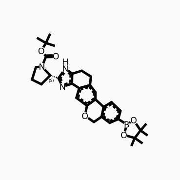 CC(C)(C)OC(=O)N1CCC[C@H]1c1nc2c([nH]1)CCc1cc3c(cc1-2)OCc1cc(B2OC(C)(C)C(C)(C)O2)ccc1-3